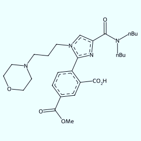 CCCCN(CCCC)C(=O)c1cn(CCCN2CCOCC2)c(-c2ccc(C(=O)OC)cc2C(=O)O)n1